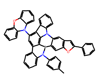 Cc1ccc(N2B3c4cc5oc(-c6ccccc6)cc5cc4-n4c5ccccc5c5c(N6c7ccccc7Oc7ccccc76)cc(c3c54)-c3ccccc32)cc1